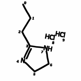 CCCC1=NCCN1.Cl.Cl